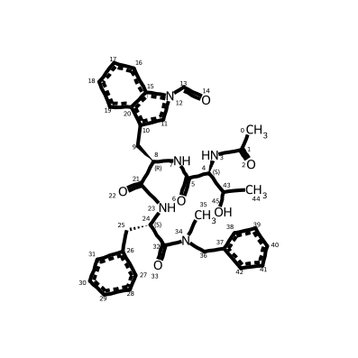 CC(=O)N[C@H](C(=O)N[C@H](Cc1cn(C=O)c2ccccc12)C(=O)N[C@@H](Cc1ccccc1)C(=O)N(C)Cc1ccccc1)C(C)O